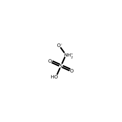 O=S(=O)(O)[NH2+][O-]